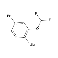 [CH2]C(C)(C)c1ccc(Br)cc1OC(F)F